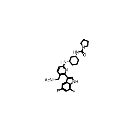 CC(=O)NCc1ccc(N[C@H]2CCC[C@@H](NC(=O)N3CCCC3)C2)nc1-c1c[nH]c2c(F)cc(F)cc12